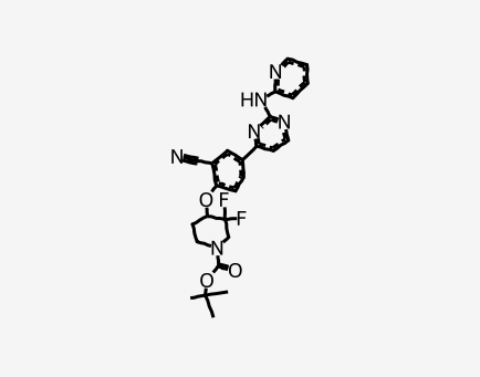 CC(C)(C)OC(=O)N1CCC(Oc2ccc(-c3ccnc(Nc4ccccn4)n3)cc2C#N)C(F)(F)C1